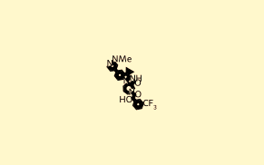 CNc1cc(-c2cccc(C3(c4nc5c(c(=O)[nH]4)CN(C(=O)[C@H](O)c4cccc(C(F)(F)F)c4)CCC5)CC3)c2)ccn1